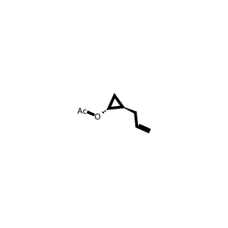 C=CC[C@@H]1C[C@H]1OC(C)=O